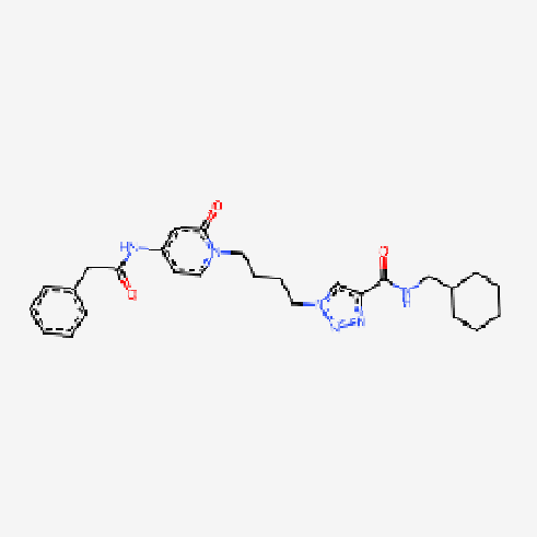 O=C(Cc1ccccc1)Nc1ccn(CCCCn2cc(C(=O)NCC3CCCCC3)nn2)c(=O)c1